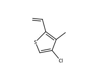 C=Cc1scc(Cl)c1C